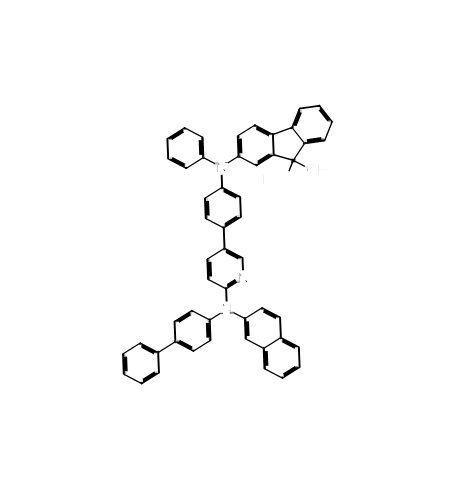 CC1(C)c2ccccc2-c2ccc(N(c3ccccc3)c3ccc(-c4ccc(N(c5ccc(-c6ccccc6)cc5)c5ccc6ccccc6c5)nc4)cc3)cc21